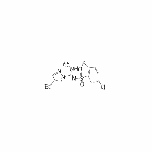 CCN/C(=N\S(=O)(=O)c1cc(Cl)ccc1F)N1CC(CC)C=N1